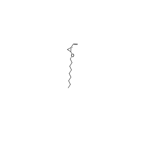 C=C[C]1CC1OCCCCCCCCC